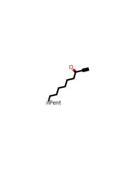 C#CC(=O)CCCCCCCCCCC